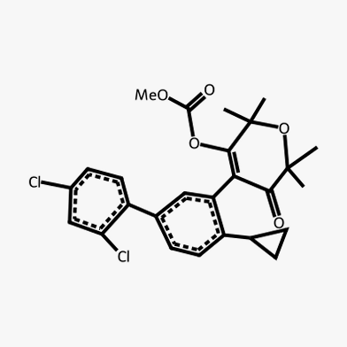 COC(=O)OC1=C(c2cc(-c3ccc(Cl)cc3Cl)ccc2C2CC2)C(=O)C(C)(C)OC1(C)C